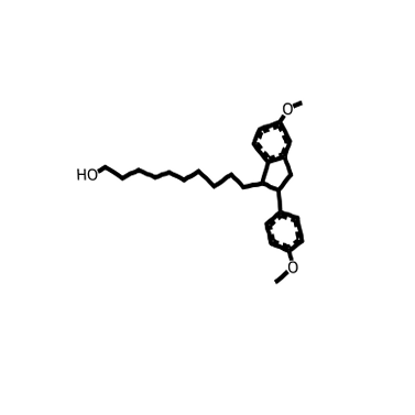 COc1ccc(C2Cc3cc(OC)ccc3C2CCCCCCCCCCO)cc1